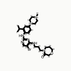 CC(C)c1cc(N2CCN(C)CC2)ccc1Nc1ncc(Br)c(NCCCN2CCCOCC2=O)n1